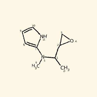 CC(C1CO1)N(C)c1ccc[nH]1